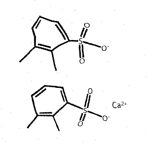 Cc1cccc(S(=O)(=O)[O-])c1C.Cc1cccc(S(=O)(=O)[O-])c1C.[Ca+2]